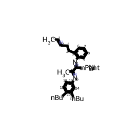 C/C=C/CCc1ccccc1/N=C(CCCCC)/C(C)=N/c1ccc(CCCC)c(CCCC)c1.[Ni]